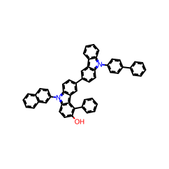 Oc1ccc2c(c1-c1ccccc1)c1cc(-c3ccc4c(c3)c3ccccc3n4-c3ccc(-c4ccccc4)cc3)ccc1n2-c1ccc2ccccc2c1